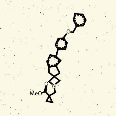 COC(=O)C1(CN2CC3(Cc4ccc(-c5ccc(OCc6ccccc6)cc5)cc4C3)C2)CC1